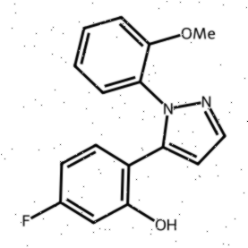 COc1ccccc1-n1nccc1-c1ccc(F)cc1O